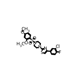 COc1ccc(S(=O)(=O)N2CCN(c3nc(-c4ccc(F)c(Cl)c4)cs3)CC2)c(OC)c1